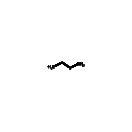 [CH2]CSN